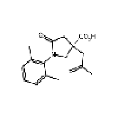 C=C(C)C[C@]1(C(=O)O)CC(=O)N(c2c(C)cccc2C)C1